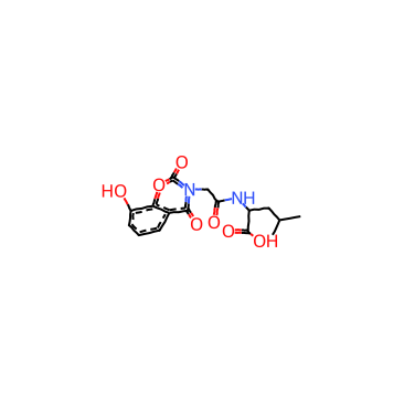 CC(C)CC(NC(=O)Cn1c(=O)oc2c(O)cccc2c1=O)C(=O)O